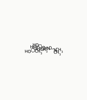 CN(C)CCO/N=C/C=C/[C@@]1(O)CC[C@]2(O)[C@@H]3CC[C@@H]4C[C@@H](O)CC[C@]4(C)[C@H]3CC[C@]12C